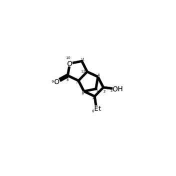 CCC1C(O)C2CC1C1C(=O)OCC21